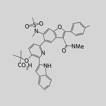 CNC(=O)c1c(-c2ccc(C)cc2)oc2cc(N(C)S(C)(=O)=O)c(-c3ccc(OC(C)(C)C(=O)O)c(-c4cc5ccccc5[nH]4)n3)cc12